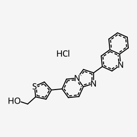 Cl.OCc1cc(-c2ccc3nc(-c4cnc5ccccc5c4)cn3c2)cs1